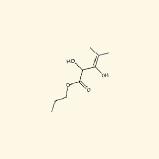 CCCOC(=O)C(O)C(O)=C(C)C